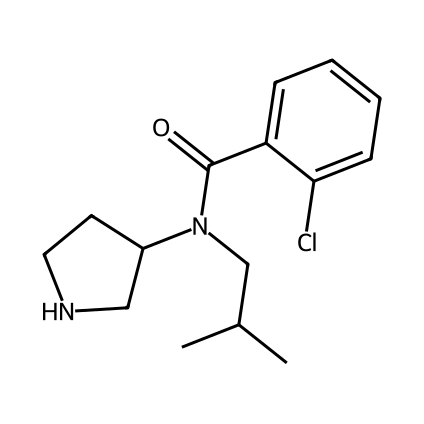 CC(C)CN(C(=O)c1ccccc1Cl)C1CCNC1